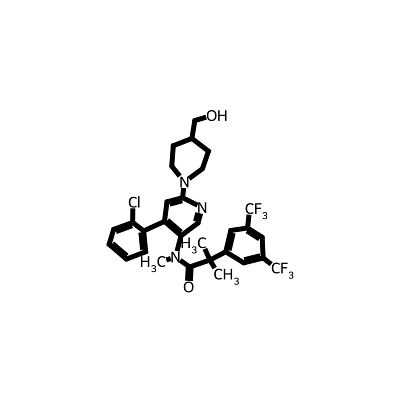 CN(C(=O)C(C)(C)c1cc(C(F)(F)F)cc(C(F)(F)F)c1)c1cnc(N2CCC(CO)CC2)cc1-c1ccccc1Cl